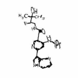 CC(C)Nc1cc(-c2cnn3cccnc23)ncc1C(=O)NCC(F)C(C)(C)O